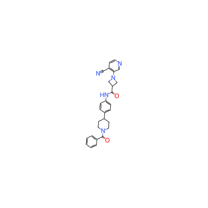 N#Cc1ccncc1N1CC(C(=O)Nc2ccc(C3CCN(C(=O)c4ccccc4)CC3)cc2)C1